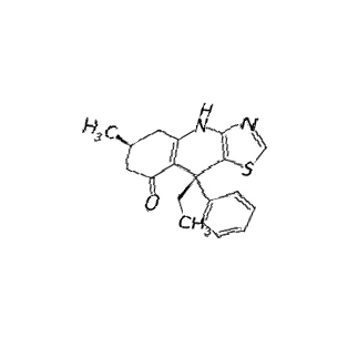 CC[C@@]1(c2ccccc2)C2=C(C[C@H](C)CC2=O)Nc2ncsc21